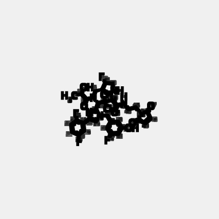 C[C@@H](O)C(=O)N(C[C@@H]1CNC[C@@H]1F)[C@@H](c1nc(-c2cc(F)ccc2F)cn1Cc1cc(O)cc(F)c1)C(C)(C)CC(=O)NCCN1C(=O)C=CC1=O